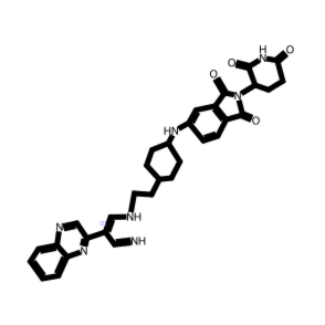 N=C/C(=C\NCCC1CCC(Nc2ccc3c(c2)C(=O)N(C2CCC(=O)NC2=O)C3=O)CC1)c1cnc2ccccc2n1